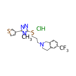 Cl.Cn1c(SCCCN2CCc3cc(C(F)(F)F)ccc3C2)nnc1-c1ccsc1